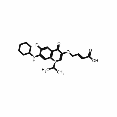 CC(C)n1cc(OC/C=C/C(=O)O)c(=O)c2cc(F)c(NC3CCCCC3)cc21